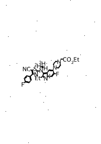 [2H]C([2H])([2H])N(c1nc(-c2ccc(F)cc2)c(C#N)s1)c1c(CC)nn2cc(F)c(N3CCN(CC(=O)OCC)CC3)cc12